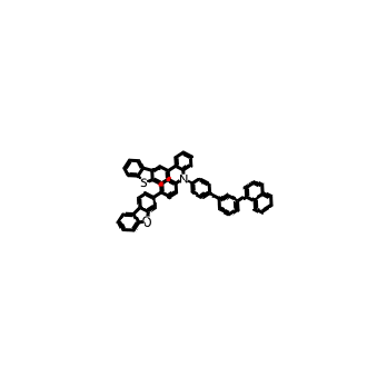 c1cc(-c2ccc(N(c3ccc(-c4ccc5c(c4)oc4ccccc45)cc3)c3ccccc3-c3ccc4sc5ccccc5c4c3)cc2)cc(-c2cccc3ccccc23)c1